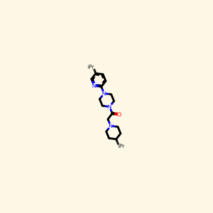 CC(C)c1ccc(N2CCN(C(=O)CN3CCC(C(C)C)CC3)CC2)nc1